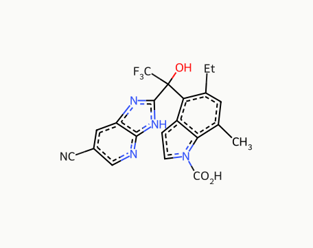 CCc1cc(C)c2c(ccn2C(=O)O)c1C(O)(c1nc2cc(C#N)cnc2[nH]1)C(F)(F)F